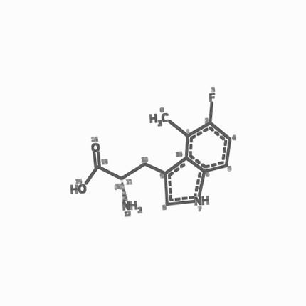 Cc1c(F)ccc2[nH]cc(C[C@H](N)C(=O)O)c12